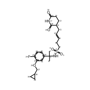 CC(C)(NS(=O)(=O)CC/C=C/CC1CCC(=O)NC1=O)c1ccc(F)c(OCC2CC2)c1